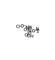 CC(C)(Cc1ccc(Cl)cc1)NC(=O)[C@H](CCC(=O)O)NC(=O)c1ccc(-c2nccs2)cc1